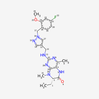 CC[C@H]1C(=O)Nc2c(C)nc(NCc3cnn(Cc4ccc(F)cc4OC)c3)nc2N1C